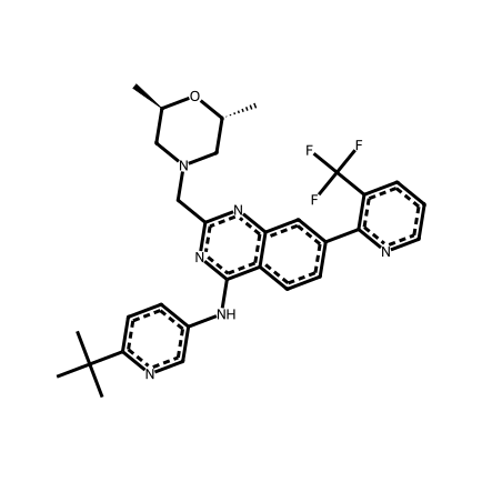 C[C@@H]1CN(Cc2nc(Nc3ccc(C(C)(C)C)nc3)c3ccc(-c4ncccc4C(F)(F)F)cc3n2)C[C@@H](C)O1